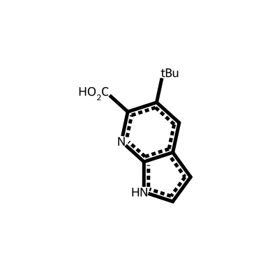 CC(C)(C)c1cc2cc[nH]c2nc1C(=O)O